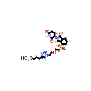 O=C(O)CCCc1cn(CCOCCS(=O)(=O)c2cccc3c2CN(C2CCC(=O)NC2=O)C3=O)nn1